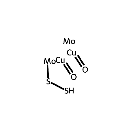 S[S][Mo].[Mo].[O]=[Cu].[O]=[Cu]